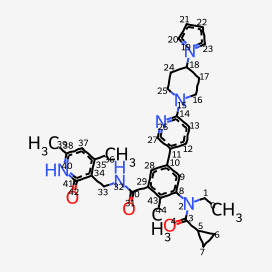 CCN(C(=O)C1CC1)c1cc(-c2ccc(N3CCC(n4cccc4)CC3)nc2)cc(C(=O)NCc2c(C)cc(C)[nH]c2=O)c1C